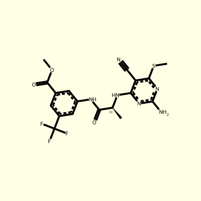 COC(=O)c1cc(NC(=O)[C@H](C)Nc2nc(N)nc(SC)c2C#N)cc(C(F)(F)F)c1